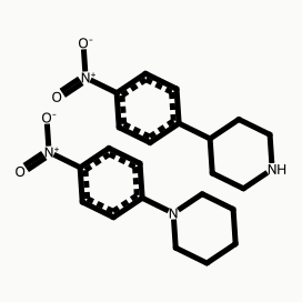 O=[N+]([O-])c1ccc(C2CCNCC2)cc1.O=[N+]([O-])c1ccc(N2CCCCC2)cc1